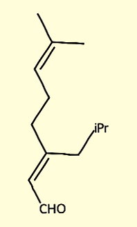 CC(C)=CCCC(=CC=O)CC(C)C